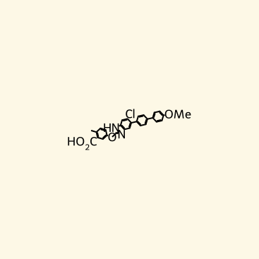 COc1ccc(-c2ccc(-c3cc4nc(Oc5ccc(C)c(C(=O)O)c5)[nH]c4cc3Cl)cc2)cc1